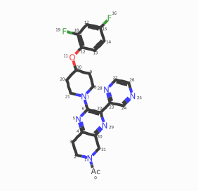 CC(=O)N1CCc2nc(N3CCC(Oc4ccc(F)cc4F)CC3)c(-c3cnccn3)nc2C1